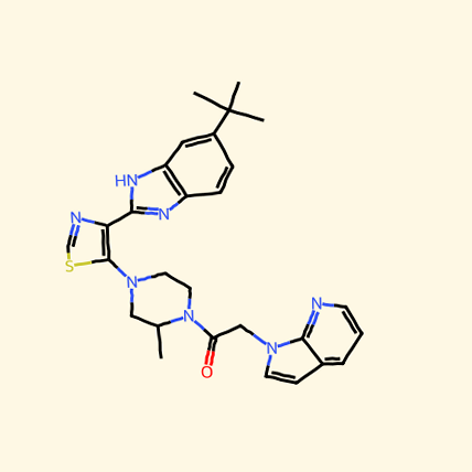 CC1CN(c2scnc2-c2nc3ccc(C(C)(C)C)cc3[nH]2)CCN1C(=O)Cn1ccc2cccnc21